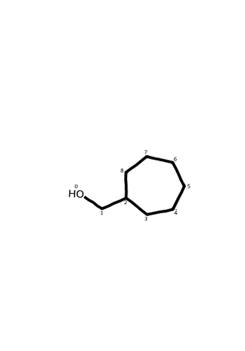 OCC1C[CH]CCCC1